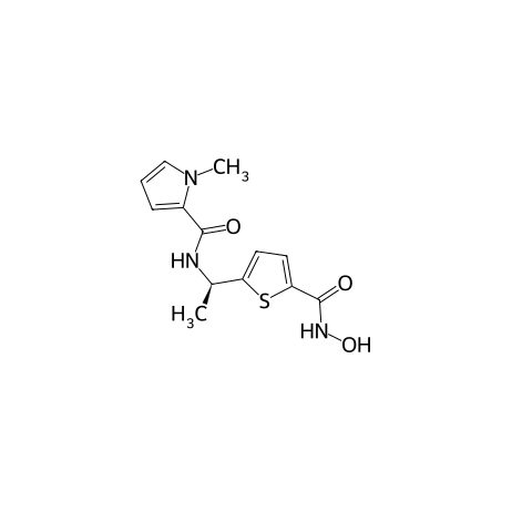 C[C@@H](NC(=O)c1cccn1C)c1ccc(C(=O)NO)s1